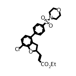 CCOC(=O)/C=C/C1Cc2c(-c3ccc(S(=O)(=O)N4CCOCC4)cc3)ccc(Cl)c2O1